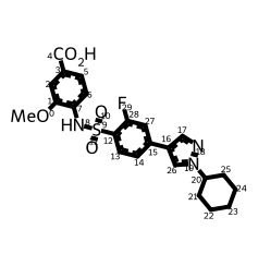 COc1cc(C(=O)O)ccc1NS(=O)(=O)c1ccc(-c2cnn(C3CCCCC3)c2)cc1F